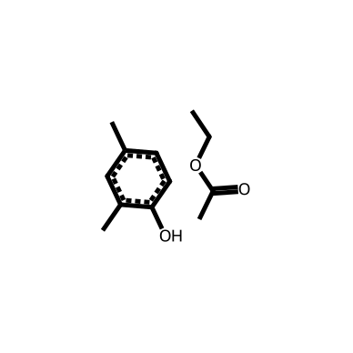 CCOC(C)=O.Cc1ccc(O)c(C)c1